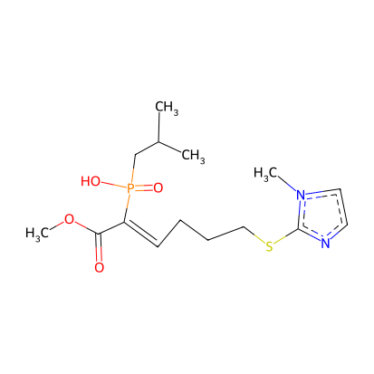 COC(=O)C(=CCCCSc1nccn1C)P(=O)(O)CC(C)C